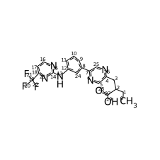 CCC(Cc1cnc(-c2cccc(Nc3nccc(C(F)(F)F)n3)c2)cn1)C(=O)O